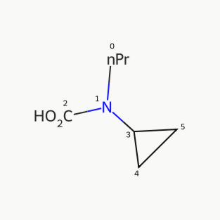 CCCN(C(=O)O)C1CC1